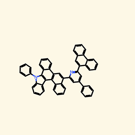 c1ccc(-c2cc(-c3cc4ccccc4c4ccccc34)nc(-c3cc4c5ccccc5c5c(c6ccccc6n5-c5ccccc5)c4c4ccccc34)c2)cc1